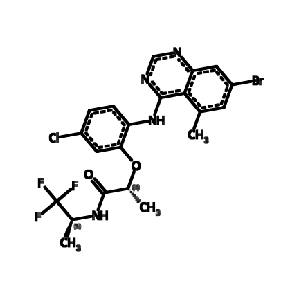 Cc1cc(Br)cc2ncnc(Nc3ccc(Cl)cc3O[C@H](C)C(=O)N[C@@H](C)C(F)(F)F)c12